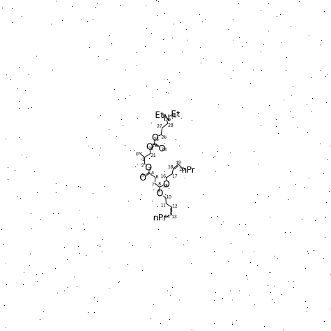 [CH2]C(COC(=O)CCC(OCC/C=C\CCC)OCC/C=C\CCC)COC(=O)OCCCN(CC)CC